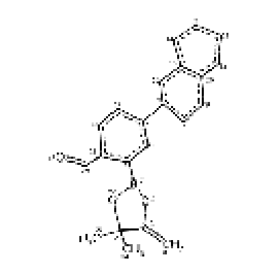 C=C1OB(c2cc(-c3ccc4ccccc4c3)ccc2C=O)OC1(C)C